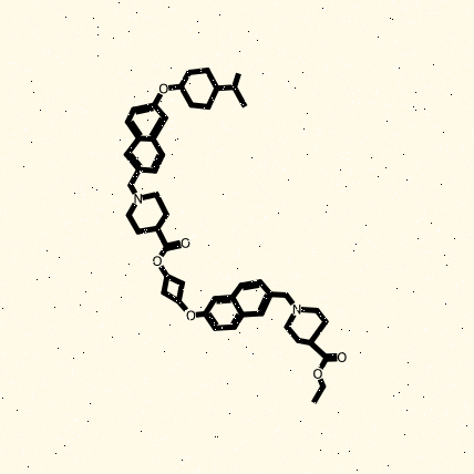 CCOC(=O)C1CCN(Cc2ccc3cc(OC4CC(OC(=O)C5CCN(Cc6ccc7cc(OC8CCC(C(C)C)CC8)ccc7c6)CC5)C4)ccc3c2)CC1